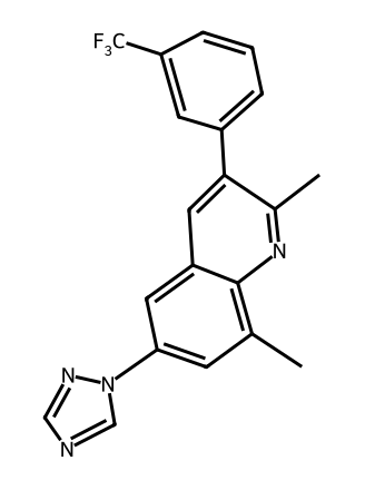 Cc1nc2c(C)cc(-n3cncn3)cc2cc1-c1cccc(C(F)(F)F)c1